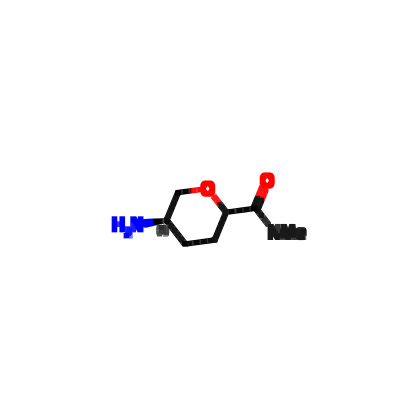 CNC(=O)C1CC[C@@H](N)CO1